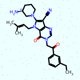 CCc1cccc(C(=O)Cn2cnc3c(C#N)c(N4CCC[C@H](N)C4)n(CC=C(C)C)c3c2=O)c1